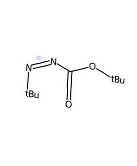 CC(C)(C)/N=N\C(=O)OC(C)(C)C